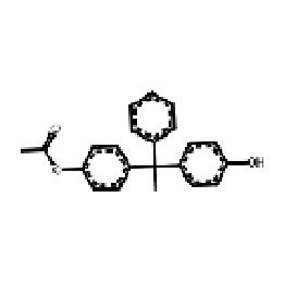 CC(=O)Oc1ccc(C(C)(c2ccccc2)c2ccc(O)cc2)cc1